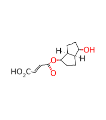 O=C(O)C=CC(=O)O[C@@H]1CC[C@H]2[C@@H]1CC[C@H]2O